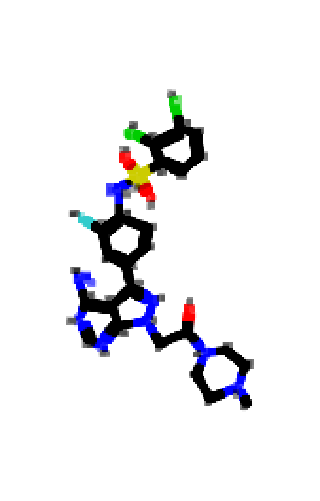 CN1CCN(C(=O)Cn2nc(-c3ccc(NS(=O)(=O)c4cccc(Cl)c4Cl)c(F)c3)c3c(N)ncnc32)CC1